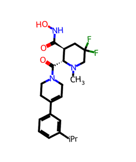 CC(C)c1cccc(C2=CCN(C(=O)[C@@H]3[C@@H](C(=O)NO)CC(F)(F)CN3C)CC2)c1